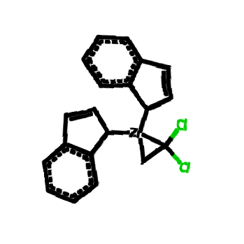 Cl[C]1(Cl)[CH2][Zr]1([CH]1C=Cc2ccccc21)[CH]1C=Cc2ccccc21